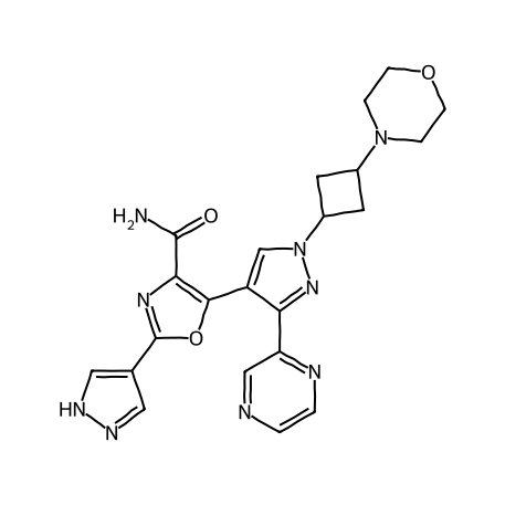 NC(=O)c1nc(-c2cn[nH]c2)oc1-c1cn(C2CC(N3CCOCC3)C2)nc1-c1cnccn1